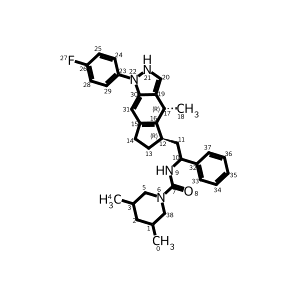 CC1CC(C)CN(C(=O)NC(C[C@H]2CCC3=C2[C@@H](C)C2=CNN(c4ccc(F)cc4)C2=C3)c2ccccc2)C1